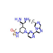 C[SH](C)(=O)NC1CC(/C(C=N)=C/N)CN(c2ccnc(-c3cnc4cnc(C(F)(F)F)cn34)n2)C1